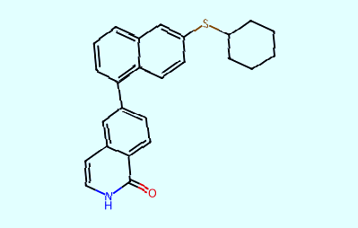 O=c1[nH]ccc2cc(-c3cccc4cc(SC5CCCCC5)ccc34)ccc12